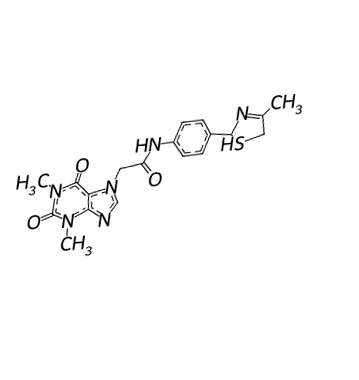 CC1=NC(c2ccc(NC(=O)Cn3cnc4c3c(=O)n(C)c(=O)n4C)cc2)=[SH]C1